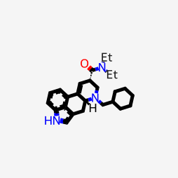 CCN(CC)C(=O)[C@H]1C=C2c3cccc4[nH]cc(c34)C[C@H]2N(CC2CCCCC2)C1